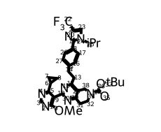 COc1ncnc(C2CC2)c1-c1nc(CCc2ccc(-c3nc(C(F)(F)F)cn3C(C)C)cc2)c2c(n1)CCN(C(=O)OC(C)(C)C)C2